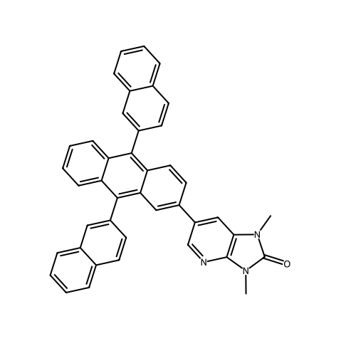 Cn1c(=O)n(C)c2ncc(-c3ccc4c(-c5ccc6ccccc6c5)c5ccccc5c(-c5ccc6ccccc6c5)c4c3)cc21